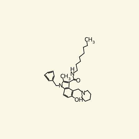 CCCCCCCCNC(=O)c1c(C)n(Cc2ccccc2)c2ccc(O)c(CN3CCCCC3)c12